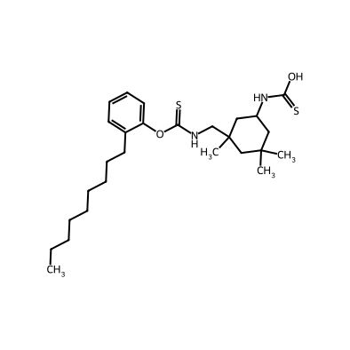 CCCCCCCCCc1ccccc1OC(=S)NCC1(C)CC(NC(O)=S)CC(C)(C)C1